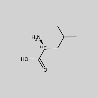 CC(C)C[14C@H](N)C(=O)O